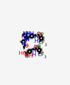 C=CC(=O)N1CCC[C@@H](n2nc(-c3ccc(CNC(=O)c4cc(C(F)(F)F)ccc4F)cc3)c3c(N)ncnc32)C1.O=C(NCc1ccc(B(O)O)cc1)c1cc(C(F)(F)F)ccc1F